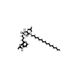 CCCCCCCCCCCCCCCCOC(=O)[C@H](CC(C)C)NS(=O)(=O)CCCc1nccc2[nH]c(C)nc12